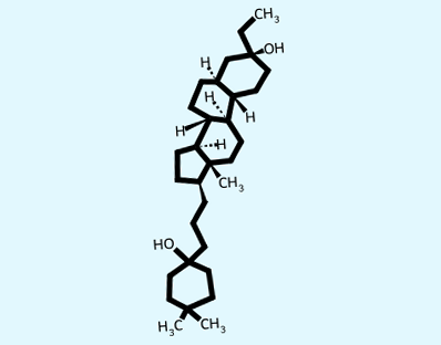 CC[C@]1(O)CC[C@H]2[C@@H](CC[C@@H]3[C@@H]2CC[C@]2(C)[C@@H](CCCC4(O)CCC(C)(C)CC4)CC[C@@H]32)C1